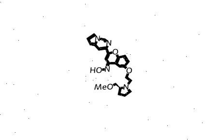 COC[C@@H]1CCCN1CCOc1ccc2oc(-c3cc4cccn4cn3)cc(=NO)c2c1